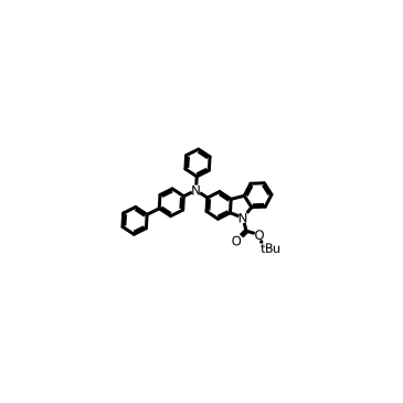 CC(C)(C)OC(=O)n1c2ccccc2c2cc(N(c3ccccc3)c3ccc(-c4ccccc4)cc3)ccc21